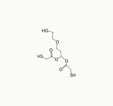 O=C(CS)OC(CCOCCO)OC(=O)CS